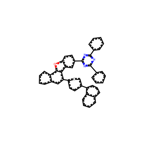 c1ccc(-c2nc(-c3ccccc3)nc(-c3ccc4oc5c6ccccc6cc(-c6ccc(-c7cccc8ccccc78)cc6)c5c4c3)n2)cc1